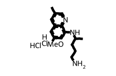 COc1cc(NC(C)CCCN)c2ncc(C)cc2c1.Cl.Cl